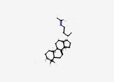 CC(=O)O[C@H]1CC[C@]2(C)C3CC[C@@]4(C)[C@H](C(C)CC/C=C(/C)C(=O)O)CC[C@]4(C)C3=CCC2C1(C)C